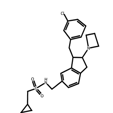 O=S(=O)(CC1CC1)NCc1ccc2c(c1)C(Cc1cccc(Cl)c1)C(N1CCC1)C2